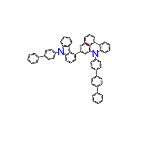 c1ccc(-c2ccc(-c3ccc(N(c4cccc(-c5cccc6c5c5ccccc5n6-c5ccc(-c6ccccc6)cc5)c4)c4ccccc4-c4ccccc4)cc3)cc2)cc1